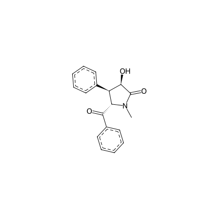 CN1C(=O)[C@H](O)[C@H](c2ccccc2)[C@H]1C(=O)c1ccccc1